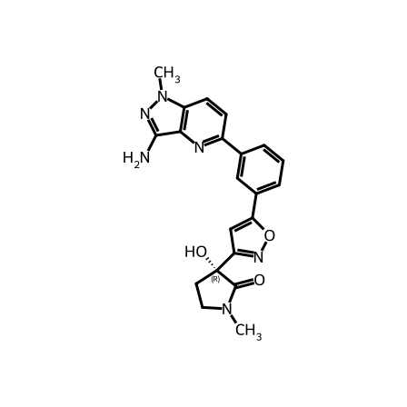 CN1CC[C@@](O)(c2cc(-c3cccc(-c4ccc5c(n4)c(N)nn5C)c3)on2)C1=O